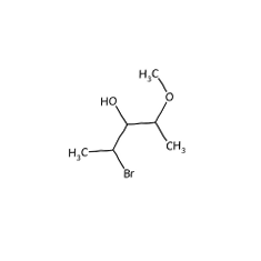 COC(C)C(O)C(C)Br